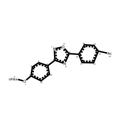 CCCCCCOc1ccc(-c2noc(-c3ccc(C(C)=O)cc3)n2)cc1